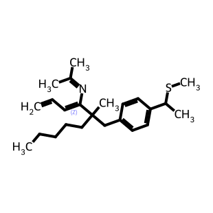 C=C/C=C(\N=C(C)C)C(C)(CCCCC)Cc1ccc(C(C)SC)cc1